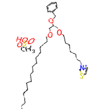 CCCCCCCCCCCCCCCCOCC(COCCCCCCC[n+]1ccsc1)OCc1ccccc1.CS(=O)(=O)O